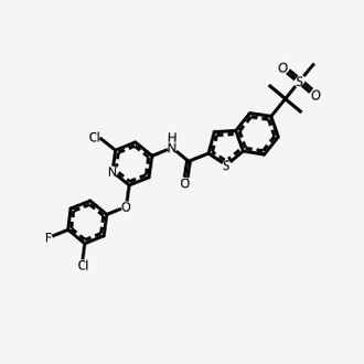 CC(C)(c1ccc2sc(C(=O)Nc3cc(Cl)nc(Oc4ccc(F)c(Cl)c4)c3)cc2c1)S(C)(=O)=O